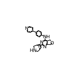 c1cc(-c2ccc(Nc3nc(N4C5CCC4CNC5)nc4c3COC4)cc2)ccn1